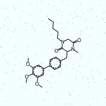 CCCCCN1CC(=O)N(C)C(Cc2ccc(-c3cc(OC)c(OC)c(OC)c3)cc2)C1=O